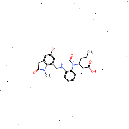 CCCC(CC(=O)O)N(C=O)c1ccccc1NCc1cc(Br)cc2c1N(C)C(=O)C2